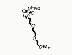 CCCCCCS(=O)(=O)NCCOCCOCCOC